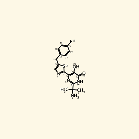 CC(C)(N)c1nc(-c2ncc(Cc3ccc(F)cc3)s2)c(O)c(=O)[nH]1